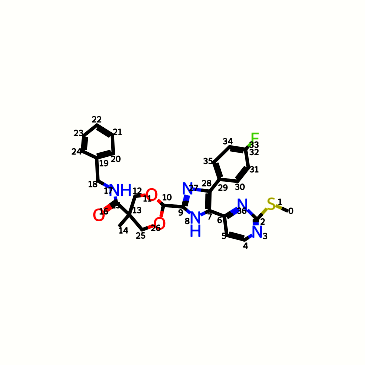 CSc1nccc(-c2[nH]c(C3OCC(C)(C(=O)NCc4ccccc4)CO3)nc2-c2ccc(F)cc2)n1